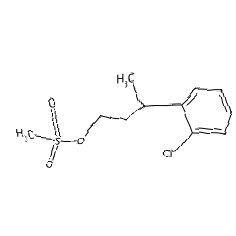 CC(CCOS(C)(=O)=O)c1ccccc1Cl